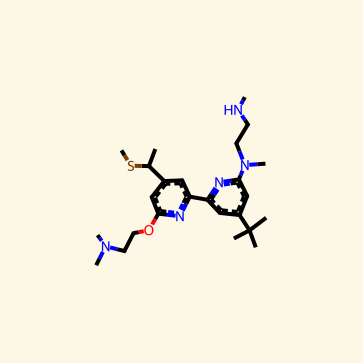 CNCCN(C)c1cc(C(C)(C)C)cc(-c2cc(C(C)SC)cc(OCCN(C)C)n2)n1